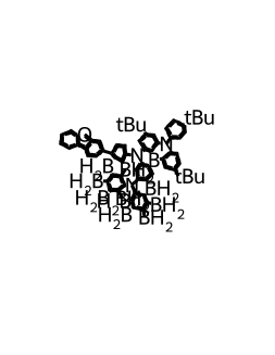 Bc1c(B)c(B)c(N(c2ccc3c(c2)N(c2ccc(-c4ccc5c(c4)oc4ccccc45)cc2)c2cc(C(C)(C)C)cc4c2B3c2cc(C(C)(C)C)ccc2N4c2ccc(C(C)(C)C)cc2)c2c(B)c(B)c(B)c(B)c2B)c(B)c1B